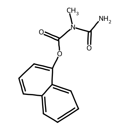 CN(C(N)=O)C(=O)Oc1cccc2ccccc12